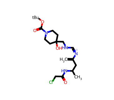 C=C(CC(C)NC(=O)CCl)/N=C\NCC1(O)CCN(C(=O)OC(C)(C)C)CC1